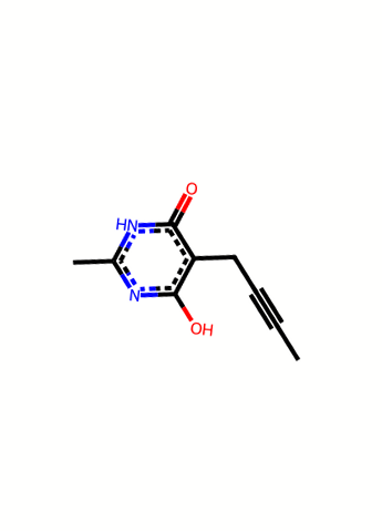 CC#CCc1c(O)nc(C)[nH]c1=O